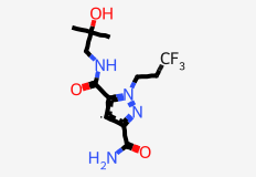 CC(C)(O)CNC(=O)c1[c]c(C(N)=O)nn1CCC(F)(F)F